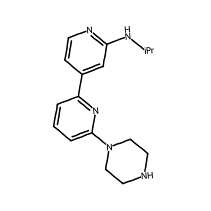 CC(C)Nc1cc(-c2cccc(N3CCNCC3)n2)ccn1